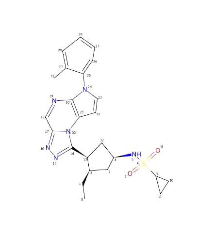 CC[C@@H]1C[C@H](NS(=O)(=O)C2CC2)C[C@@H]1c1nnc2cnc3c(ccn3-c3ccccc3C)n12